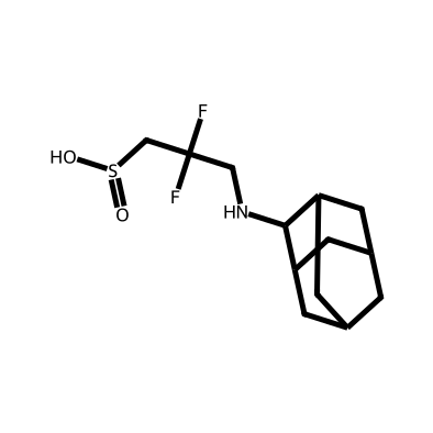 O=S(O)CC(F)(F)CNC1C2CC3CC(C2)CC1C3